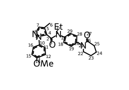 CCN(C(=O)c1c(C)cnn1-c1ccc(OC)cc1)c1ccc(N2CCCCC2=O)cc1